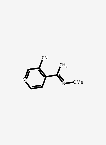 CO/N=C(\C)c1ccncc1C#N